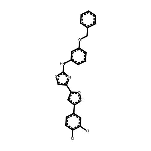 Clc1ccc(-c2cc(-c3csc(Nc4cccc(OCc5ccccc5)c4)n3)on2)cc1Cl